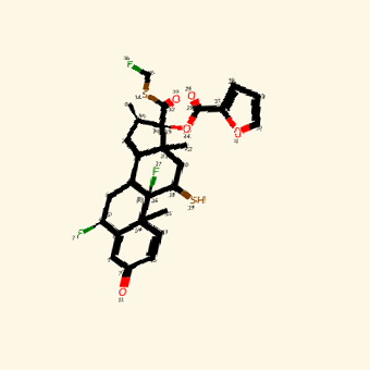 C[C@@H]1CC2C3C[C@H](F)C4=CC(=O)C=CC4(C)[C@@]3(F)C(S)CC2(C)[C@@]1(OC(=O)c1ccco1)C(=O)SCF